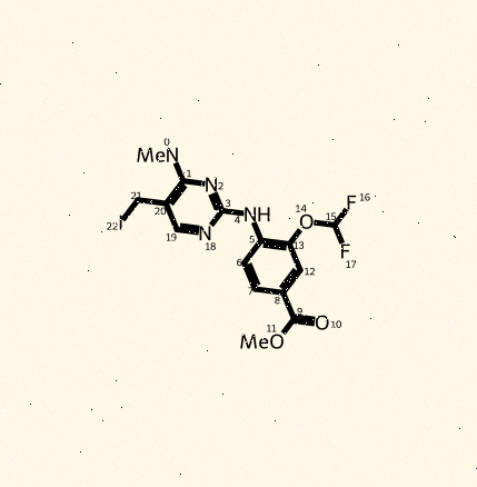 CNc1nc(Nc2ccc(C(=O)OC)cc2OC(F)F)ncc1CI